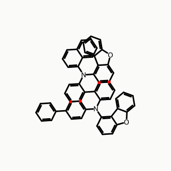 c1ccc(-c2ccc(N(c3ccccc3-c3ccccc3N(c3cccc4ccccc34)c3cccc4oc5ccccc5c34)c3cccc4oc5ccccc5c34)cc2)cc1